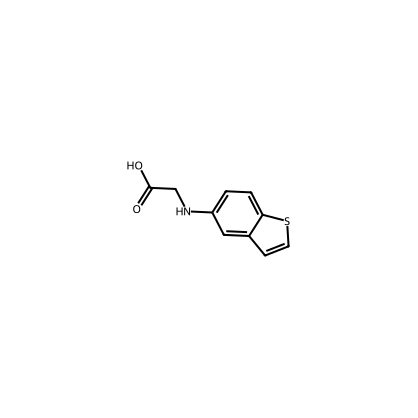 O=C(O)CNc1ccc2sccc2c1